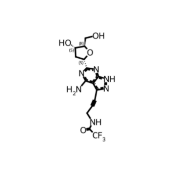 Nc1nc([C@@H]2C[C@H](O)[C@@H](CO)O2)nc2[nH]nc(C#CCNC(=O)C(F)(F)F)c12